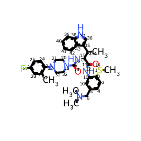 CSc1ccc(CN(C)C)cc1NC(=O)[C@H](NC(=O)N1CCN(c2ccc(F)cc2C)CC1)[C@H](C)c1c[nH]c2ccccc12